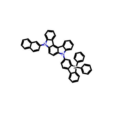 c1ccc([Si]2(c3ccccc3)c3ccccc3-c3ccc(-n4c5ccccc5c5c6c7ccccc7n(-c7ccc8ccccc8c7)c6ccc54)cc32)cc1